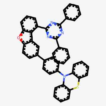 c1ccc(-c2nc(-c3ccccc3)nc(-c3cccc4oc5ccc(-c6ccc(N7c8ccccc8Sc8ccccc87)cc6)cc5c34)n2)cc1